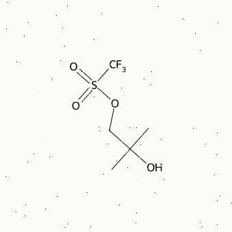 CC(C)(O)COS(=O)(=O)C(F)(F)F